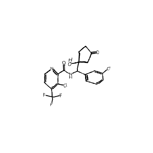 O=C1CCC(O)(C(NC(=O)c2nccc(C(F)(F)F)c2Cl)c2cccc(Cl)c2)C1